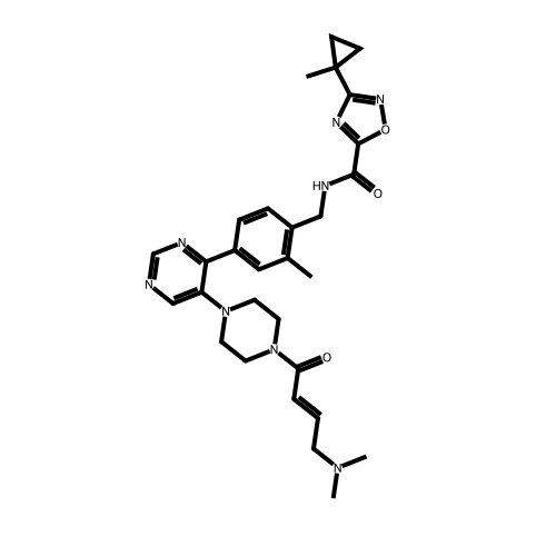 Cc1cc(-c2ncncc2N2CCN(C(=O)C=CCN(C)C)CC2)ccc1CNC(=O)c1nc(C2(C)CC2)no1